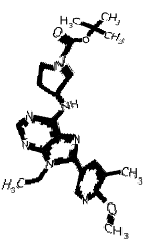 CCn1c(-c2cnc(OC)c(C)c2)nc2c(NC3CCN(C(=O)OC(C)(C)C)C3)ncnc21